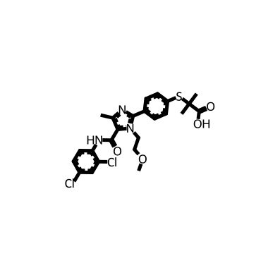 COCCn1c(-c2ccc(SC(C)(C)C(=O)O)cc2)nc(C)c1C(=O)Nc1ccc(Cl)cc1Cl